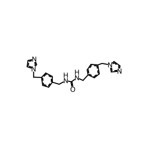 O=C(NCc1ccc(Cn2ccnc2)cc1)NCc1ccc(Cn2ccnc2)cc1